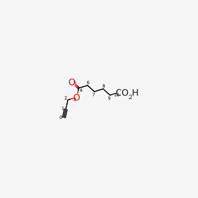 C#CCOC(=O)CCCCC(=O)O